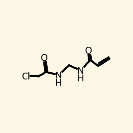 C=CC(=O)NCNC(=O)CCl